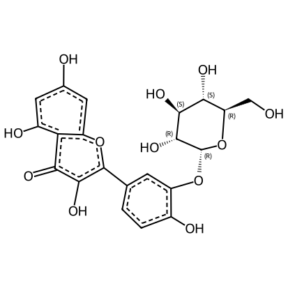 O=c1c(O)c(-c2ccc(O)c(O[C@H]3O[C@H](CO)[C@@H](O)[C@H](O)[C@H]3O)c2)oc2cc(O)cc(O)c12